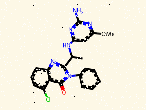 COc1cc(NC(C)c2nc3cccc(Cl)c3c(=O)n2-c2ccccc2)nc(N)n1